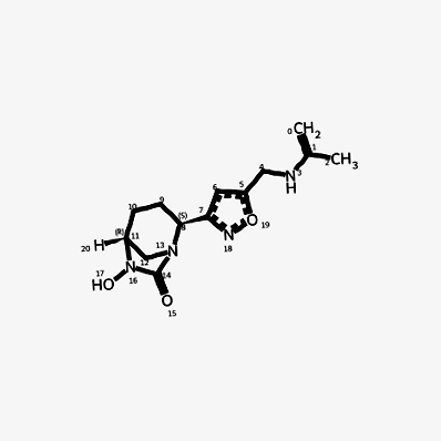 C=C(C)NCc1cc([C@@H]2CC[C@@H]3CN2C(=O)N3O)no1